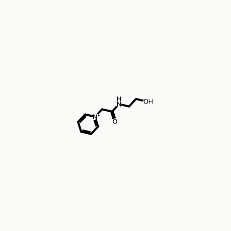 O=C(C[n+]1ccccc1)NCCO